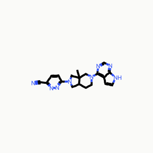 CC12CN(c3ccc(C#N)nn3)CC1CCN(c1ncnc3[nH]ccc13)C2